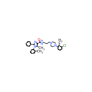 Cc1ccccc1-n1c(-c2ccccc2)nc(C(=O)NCCCN2CCN(c3cccc(Cl)c3C)CC2)c1C